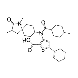 CC1CCC(C(=O)N(c2cc(C3=CCCCC3)sc2C(=O)O)C2CCC3(CC2)CC(C)C(=O)N3C)CC1